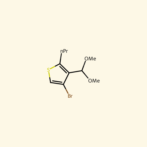 CCCc1scc(Br)c1C(OC)OC